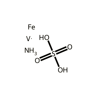 N.O=S(=O)(O)O.[Fe].[V]